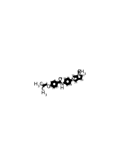 CC(C)COc1ccc(C(=O)Nc2ccc(N3C=C4C(CCN4C)C3)cc2)cc1